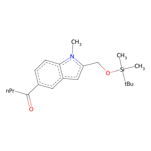 CCCC(=O)c1ccc2c(c1)cc(CO[Si](C)(C)C(C)(C)C)n2C